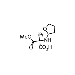 COC(=O)[C@@](NC1CCCO1)(C(=O)O)C(C)C